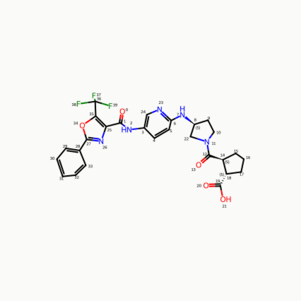 O=C(Nc1ccc(N[C@H]2CCN(C(=O)[C@H]3CCC[C@@H]3C(=O)O)C2)nc1)c1nc(-c2ccccc2)oc1C(F)(F)F